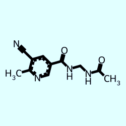 CC(=O)NCNC(=O)c1cnc(C)c(C#N)c1